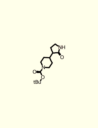 CC(C)(C)OC(=O)N1CCC(C2CCNC2=O)CC1